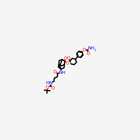 CC(C)(C)OC(=O)NCCCC(=O)NC12CC3CC(C1)C1(OO[C@@]4(CCCC(c5ccc(OC(N)=O)cc5)C4)O1)C(C3)C2